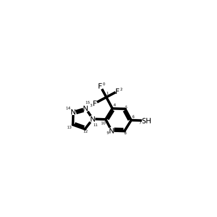 FC(F)(F)c1cc(S)cnc1-n1ccnn1